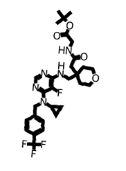 CC(C)(C)OC(=O)CNC(=O)CC1(CNc2ncnc(N(Cc3ccc(C(F)(F)F)cc3)C3CC3)c2F)CCOCC1